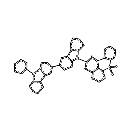 O=S1(=O)c2ccccc2-c2nc(-n3c4ccccc4c4cc(-c5ccc6c(c5)c5ccccc5n6-c5ccccc5)ccc43)nc3nccc1c23